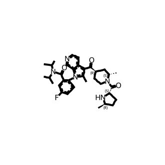 Cc1c(C(=O)[C@@H]2CCN(C(=O)[C@@H]3CC[C@@H](C)N3)[C@@H](C)C2)c2ccncc2n1-c1ccc(F)cc1C(=O)N(C(C)C)C(C)C